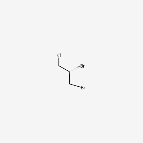 ClC[C@H](Br)CBr